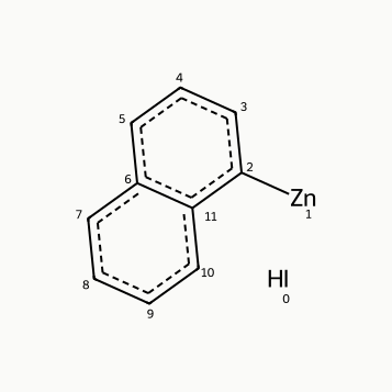 I.[Zn][c]1cccc2ccccc12